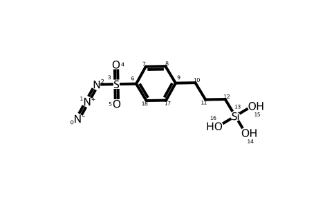 [N-]=[N+]=NS(=O)(=O)c1ccc(CCC[Si](O)(O)O)cc1